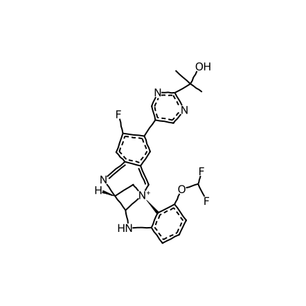 CC(C)(O)c1ncc(-c2cc3c(cc2F)=N[C@@H]2C[N@@+]4(C=3)c3c(cccc3OC(F)F)NC24)cn1